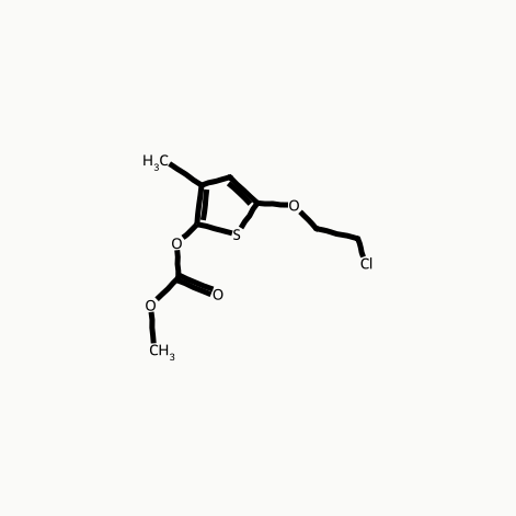 COC(=O)Oc1sc(OCCCl)cc1C